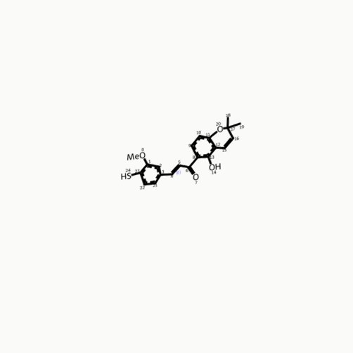 COc1cc(/C=C/C(=O)c2ccc3c(c2O)C=CC(C)(C)O3)ccc1S